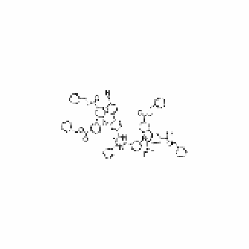 N#Cc1ccc(-c2ccc(-c3nc(-c4ccccc4)nc(-c4ccc(C(F)(F)F)c(-n5c6ccc(C(=O)OCc7ccccc7)cc6c6cc(C(=O)OCc7ccccc7)ccc65)c4)n3)cc2-n2c3ccc(C(=O)OCc4ccccc4)cc3c3cc(C(=O)OCc4ccccc4)ccc32)cc1